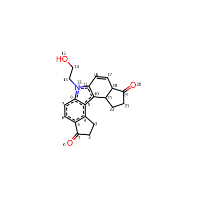 O=C1CCc2c1ccc1c2c2c(n1CCO)C=CC1C(=O)CCC21